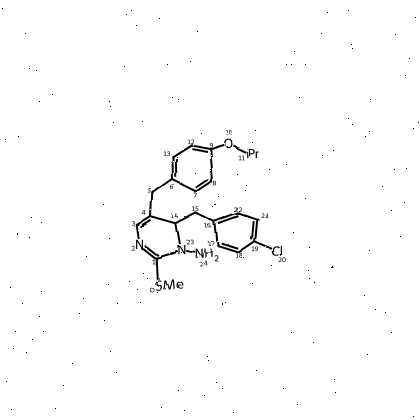 CSC1=NC=C(Cc2ccc(OC(C)C)cc2)C(Cc2ccc(Cl)cc2)N1N